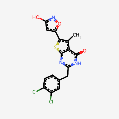 Cc1c(-c2cc(O)no2)sc2nc(Cc3ccc(Cl)c(Cl)c3)[nH]c(=O)c12